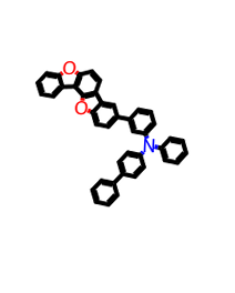 c1ccc(-c2ccc(N(c3ccccc3)c3cccc(-c4ccc5oc6c(ccc7oc8ccccc8c76)c5c4)c3)cc2)cc1